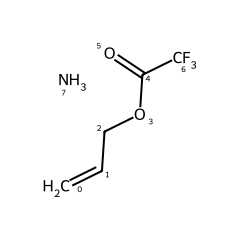 C=CCOC(=O)C(F)(F)F.N